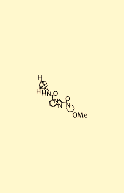 COC1CCN(C(=O)c2cn3c(C(=O)NC[C@@H]4CC[C@H]5C[C@@H]4C5(C)C)cccc3n2)CC1